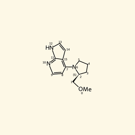 COC[C@@H]1CCCN1c1ccnc2[nH]ccc12